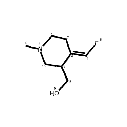 CN1CC/C(=C\F)C(CO)C1